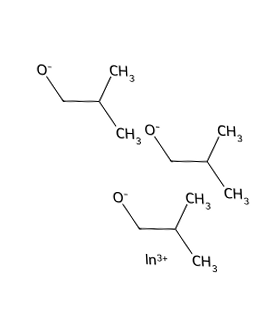 CC(C)C[O-].CC(C)C[O-].CC(C)C[O-].[In+3]